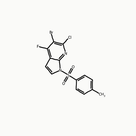 Cc1ccc(S(=O)(=O)n2ccc3c(F)c(Br)c(Cl)nc32)cc1